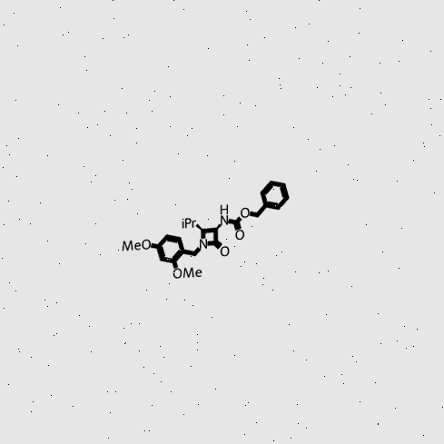 COc1ccc(CN2C(=O)[C@H](NC(=O)OCc3ccccc3)[C@@H]2C(C)C)c(OC)c1